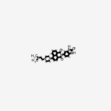 CN(C)CCN1CCN(c2ccc3c4c(cccc24)C(=O)N(c2ccc4[nH]c(=O)[nH]c4c2)C3=O)CC1